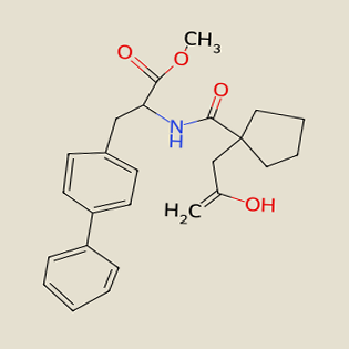 C=C(O)CC1(C(=O)NC(Cc2ccc(-c3ccccc3)cc2)C(=O)OC)CCCC1